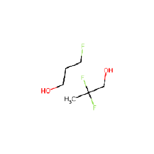 CC(F)(F)CO.OCCCF